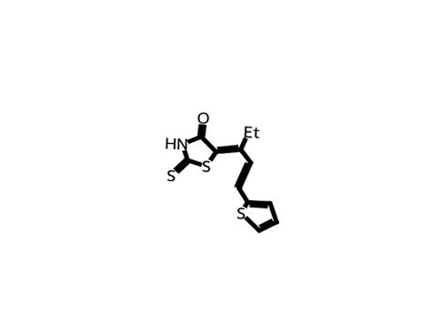 CCC(C=Cc1cccs1)=C1SC(=S)NC1=O